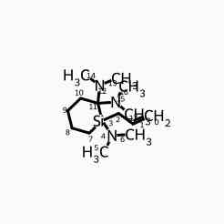 C=CC[Si]1(N(C)C)CCCCC1(N(C)C)N(C)C